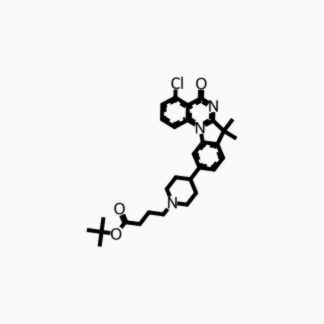 CC(C)(C)OC(=O)CCCN1CCC(c2ccc3c(c2)-n2c(nc(=O)c4c(Cl)cccc42)C3(C)C)CC1